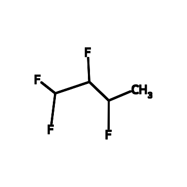 CC(F)C(F)C(F)F